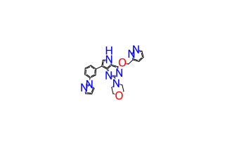 c1cc(-c2c[nH]c3c(OCc4cccnn4)nc(N4CCOCC4)nc23)cc(-n2cccn2)c1